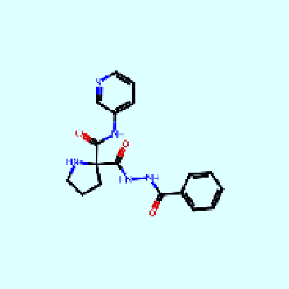 O=C(NNC(=O)C1(C(=O)Nc2cccnc2)CCCN1)c1ccccc1